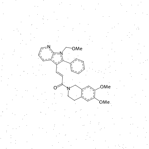 COCn1c(-c2ccccc2)c(C=CC(=O)N2CCc3cc(OC)c(OC)cc3C2)c2cccnc21